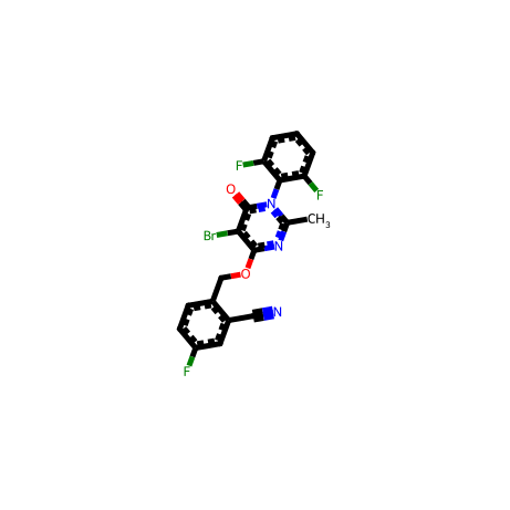 Cc1nc(OCc2ccc(F)cc2C#N)c(Br)c(=O)n1-c1c(F)cccc1F